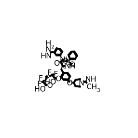 CC(=N)N1CCC(Oc2ccc(C[C@H](NS(=O)(=O)c3ccccc3)C(=O)Nc3cccc(C(=N)N)c3)cc2)CC1.O=C(O)C(F)(F)F.O=C(O)C(F)(F)F